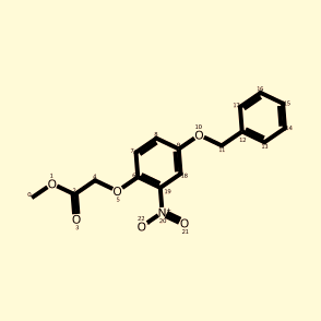 COC(=O)COc1ccc(OCc2ccccc2)cc1[N+](=O)[O-]